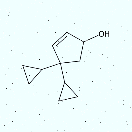 OC1C=CC(C2CC2)(C2CC2)C1